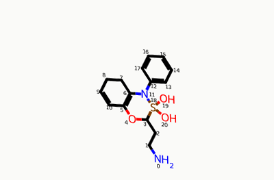 NCCC1OC2=C(CCC=C2)N(c2ccccc2)S1(O)O